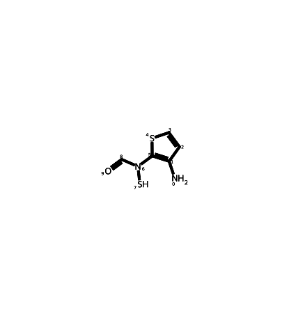 Nc1ccsc1N(S)C=O